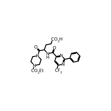 CCOC(=O)N1CCN(C(=O)C(CCC(=O)O)NC(=O)c2cc(C(F)(F)F)nc(-c3ccccc3)n2)CC1